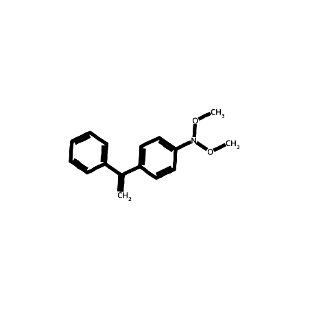 C=C(c1ccccc1)c1ccc(N(OC)OC)cc1